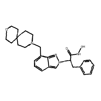 O=C(NO)C(Cc1ccccc1)n1cc2cccc(CN3CCC4(CCOCC4)CC3)c2n1